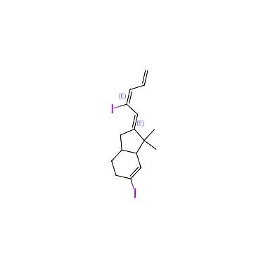 C=C/C=C(I)\C=C1/CC2CCC(I)=CC2C1(C)C